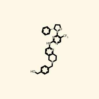 OCc1ccc(CN2CCc3nc(Nc4ncc(C(F)(F)F)c(N5OCC[C@H]5c5ccccc5)n4)ccc3C2)cc1